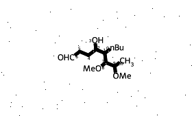 CCCCC(C(O)CCC=O)C(OC)C(C)OC